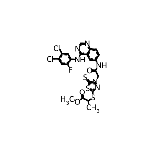 COC(=O)C(C)Sc1nn(CC(=O)Nc2ccc3ncnc(Nc4cc(Cl)c(Cl)cc4F)c3c2)c(=S)s1